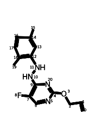 C=CCOc1ncc(F)c(NNc2cc(C)ccc2C)n1